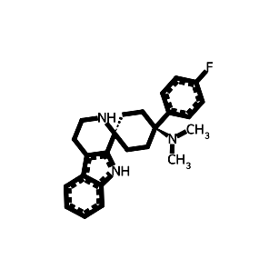 CN(C)[C@]1(c2ccc(F)cc2)CC[C@@]2(CC1)NCCc1c3ccccc3[nH]c12